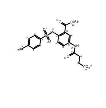 CCCCc1ccc(S(=O)(=O)Nc2ccc(NC(=O)CCC(=O)O)cc2C(=O)OC)cc1